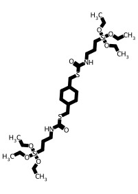 CCO[Si](CCCNC(=O)SCC1CCC(CSC(=O)NCCC[Si](OCC)(OCC)OCC)CC1)(OCC)OCC